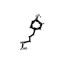 O=CNCCCc1ccc(C(F)(F)F)cc1